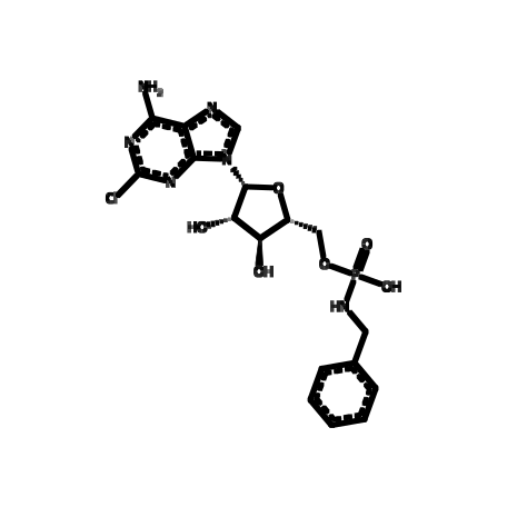 Nc1nc(Cl)nc2c1ncn2[C@@H]1O[C@H](COP(=O)(O)NCc2ccccc2)[C@@H](O)[C@@H]1O